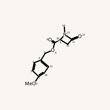 COc1ccc(COC(=O)[C@@H]2CC(=O)N2C)cc1